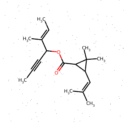 CC#CC(OC(=O)C1C(C=C(C)C)C1(C)C)C(C)=CC